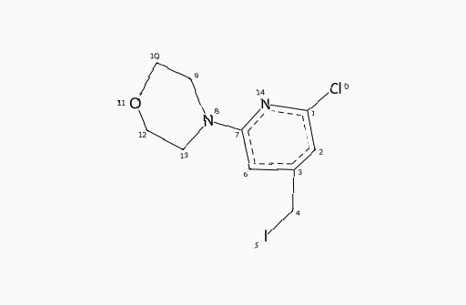 Clc1cc(CI)cc(N2CCOCC2)n1